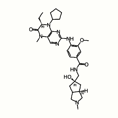 CC[C@@H]1C(=O)N(C)c2cnc(Nc3ccc(C(=O)NC[C@@]4(O)CC5CN(C)C[C@H]5C4)cc3OC)nc2N1C1CCCC1